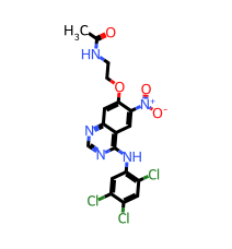 CC(=O)NCCOc1cc2ncnc(Nc3cc(Cl)c(Cl)cc3Cl)c2cc1[N+](=O)[O-]